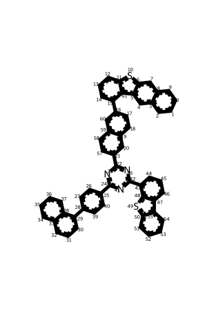 c1ccc2cc3c(cc2c1)sc1cccc(-c2ccc4cc(-c5nc(-c6ccc(-c7cccc8ccccc78)cc6)nc(-c6cccc7c6sc6ccccc67)n5)ccc4c2)c13